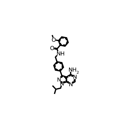 COc1ccccc1C(=O)NCc1ccc(-c2nn(CC(C)C)c3ncnc(N)c23)cc1